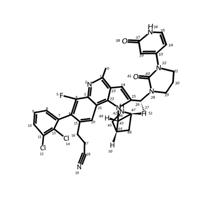 Cc1nc2c(F)c(-c3cccc(Cl)c3Cl)c(CCC#N)cc2c2c1cc([C@@H](C)N1CCCN(c3cc[nH]c(=O)c3)C1=O)n2[C@H]1[C@H]2CN[C@@H]1C2